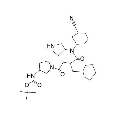 CC(C)(C)OC(=O)NC1CCN(C(=O)CC(CC2CCCCC2)C(=O)N(C2CCNC2)C2CCCC(C#N)C2)C1